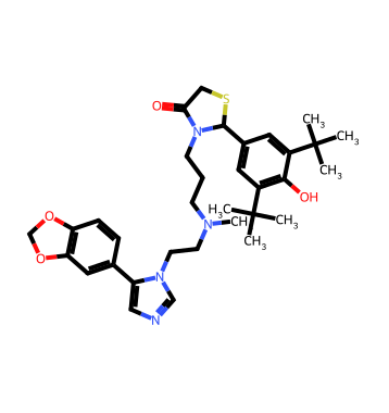 CN(CCCN1C(=O)CSC1c1cc(C(C)(C)C)c(O)c(C(C)(C)C)c1)CCn1cncc1-c1ccc2c(c1)OCO2